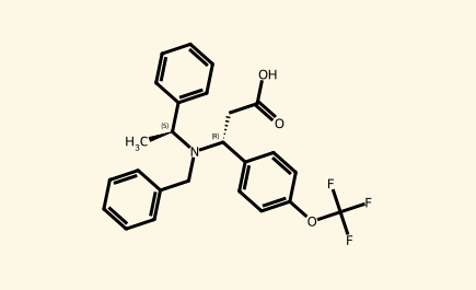 C[C@@H](c1ccccc1)N(Cc1ccccc1)[C@H](CC(=O)O)c1ccc(OC(F)(F)F)cc1